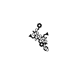 CC(OC(=O)C(CC1CC1)N(C)C(=O)C(Cc1ccc(N2CCOCC2)cc1)OC(=O)C(CC1CC1)N(C)C(=O)OC(C)(C)C)C(=O)OCc1ccccc1